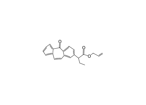 C=CCOC(=O)C(CC)c1ccc2c(=O)c3ccccc3ccc2c1